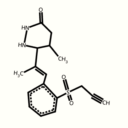 C#CCS(=O)(=O)c1ccccc1/C=C(\C)C1NNC(=O)CC1C